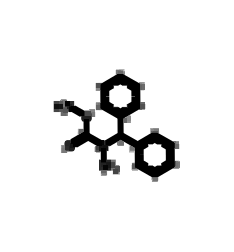 NOC(=O)N(N)C(c1ccccc1)c1ccccc1